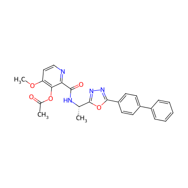 COc1ccnc(C(=O)N[C@@H](C)c2nnc(-c3ccc(-c4ccccc4)cc3)o2)c1OC(C)=O